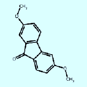 COc1ccc2c(c1)C(=O)c1ccc(OC)cc1-2